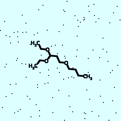 CCCCOCC[C](OCC)OCC